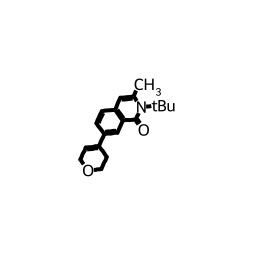 Cc1cc2ccc(C3=CCOCC3)cc2c(=O)n1C(C)(C)C